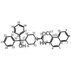 O=C(Nc1ccc2ccccc2c1Cl)N1CCC(C(O)(c2ccccc2)c2ccccc2)CC1